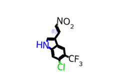 O=[N+]([O-])/C=C/c1c[nH]c2cc(Cl)c(C(F)(F)F)cc12